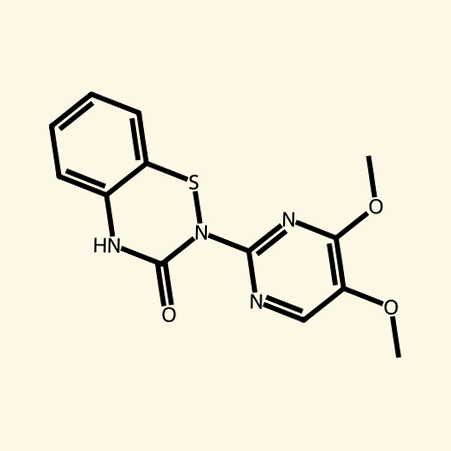 COc1cnc(N2Sc3ccccc3NC2=O)nc1OC